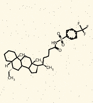 CC[C@H]1CC2C3CC[C@H]([C@H](C)CCCC(=O)NS(=O)(=O)c4ccc(C(F)(F)F)cc4)[C@@]3(C)CCC2[C@@]2(C)CCCC[C@@H]12